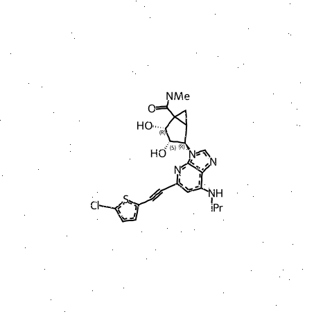 CNC(=O)C12CC1[C@@H](n1cnc3c(NC(C)C)cc(C#Cc4ccc(Cl)s4)nc31)[C@H](O)[C@@H]2O